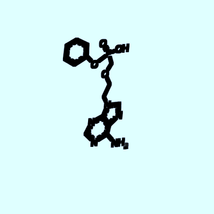 Nc1ncnc2c1ncn2CCOCP(=O)(O)Oc1ccccc1